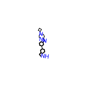 c1cc2cc(-c3ccc4c(c3)nc3n4CCN(C4CCC4)CC3)ccc2[nH]1